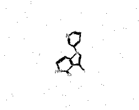 O=c1[nH]ccc2c1c(I)cn2-c1cccnc1